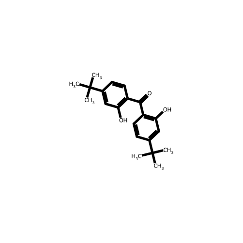 CC(C)(C)c1ccc(C(=O)c2ccc(C(C)(C)C)cc2O)c(O)c1